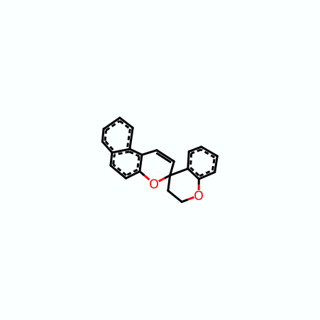 C1=CC2(CCOc3ccccc32)Oc2ccc3ccccc3c21